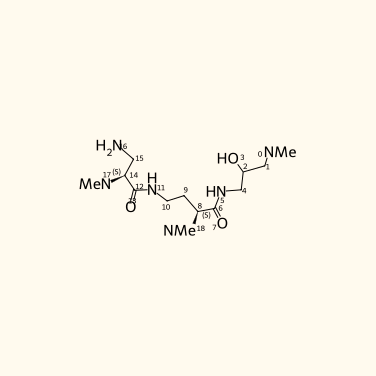 CNCC(O)CNC(=O)[C@H](CCNC(=O)[C@H](CN)NC)NC